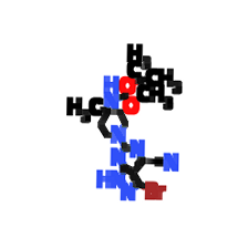 CC1(NC(=O)OC(C)(C)C)CCN(c2nc(C#N)c3c(Br)n[nH]c3n2)CC1